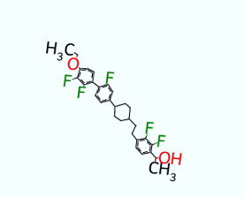 CCOc1ccc(-c2ccc(C3CCC(CCc4ccc(C(C)O)c(F)c4F)CC3)cc2F)c(F)c1F